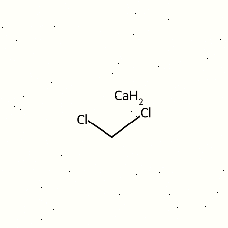 ClCCl.[CaH2]